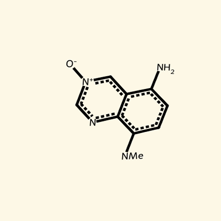 CNc1ccc(N)c2c[n+]([O-])cnc12